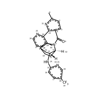 Cc1ccc(C(=O)N2CC3CC[C@H]2[C@H](Nc2ccc(C(F)(F)F)cn2)C3)c(-c2ncccc2C)n1